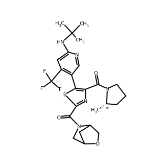 C[C@H]1CCCN1C(=O)c1nc(C(=O)N2CC3CC2CO3)sc1-c1cnc(NC(C)(C)C)cc1C(F)(F)F